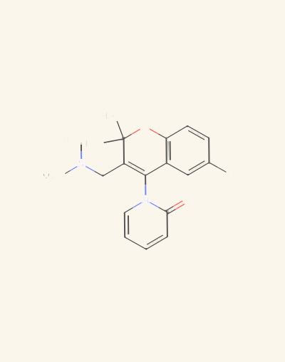 CON(C)CC1=C(n2ccccc2=O)c2cc(C(F)(F)F)ccc2OC1(C)C